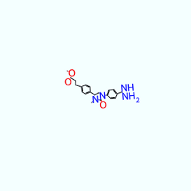 COC(=O)CCc1ccc(C2CN(c3ccc(C(=N)N)cc3)C(=O)N2C)cc1